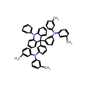 Cc1cccc(N(c2cccc(C)c2)c2cccc(C3(c4cccc(N(c5cccc(C)c5)c5cccc(C)c5)c4)c4ccccc4N(c4ccccc4)c4ccccc43)c2)c1